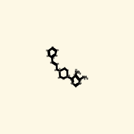 Nc1ncnc(N2CCN(CC=Cc3ccccc3)CC2)c1[N+](=O)[O-]